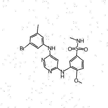 CNS(=O)(=O)c1ccc(OC)c(Nc2cc(Nc3cc(C)cc(Br)c3)ncn2)c1